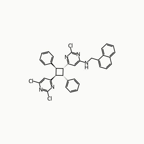 Clc1cc([C@H]2[C@@H](c3ccccc3)[C@H](c3cc(NCc4cccc5ccccc45)nc(Cl)n3)[C@@H]2c2ccccc2)nc(Cl)n1